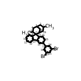 CC1CC2CC(C)C3(c4ccccc4-c4cc(-c5cc(Br)cc(Br)c5)ccc43)C(C1)C2